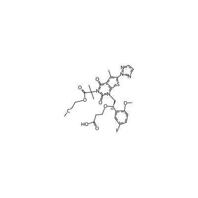 CCCCOC(=O)C(C)(C)n1c(=O)c2c(C)c(-n3nccn3)sc2n(C[C@H](OCCC(=O)O)c2cc(F)ccc2OC)c1=O